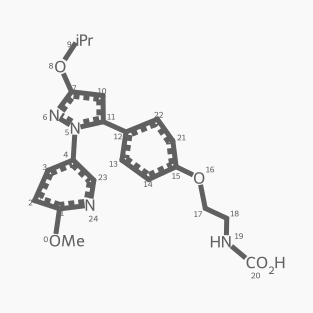 COc1ccc(-n2nc(OC(C)C)cc2-c2ccc(OCCNC(=O)O)cc2)cn1